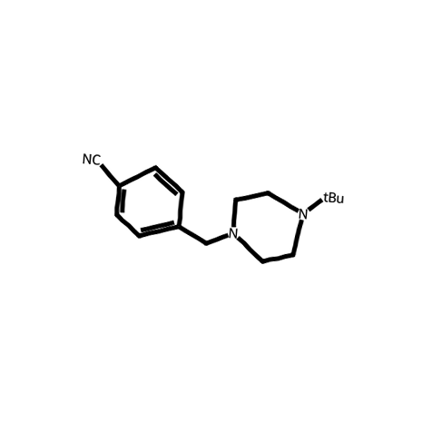 CC(C)(C)N1CCN(Cc2ccc(C#N)cc2)CC1